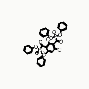 O=C(c1c(Cl)cc(Cl)c(C(=O)P(=O)(Oc2ccccc2)Oc2ccccc2)c1Cl)P(=O)(Oc1ccccc1)Oc1ccccc1